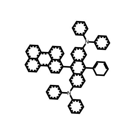 C1=CCCC(c2c3cc(N(c4ccccc4)c4ccccc4)ccc3c(-c3ccc4c5cccc6cccc(c7cccc3c74)c65)c3cc(N(c4ccccc4)c4ccccc4)ccc23)=C1